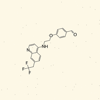 O=Cc1ccc(OCCNc2ccnc3cc(CC(F)(F)F)ccc23)cc1